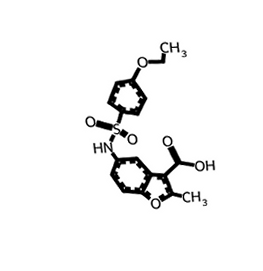 CCOc1ccc(S(=O)(=O)Nc2ccc3oc(C)c(C(=O)O)c3c2)cc1